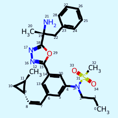 CCCN(c1cc(/C=C\[C@@H]2C[C@H]2C)cc(-c2nnc([C@](C)(N)Cc3ccccc3)o2)c1)S(C)(=O)=O